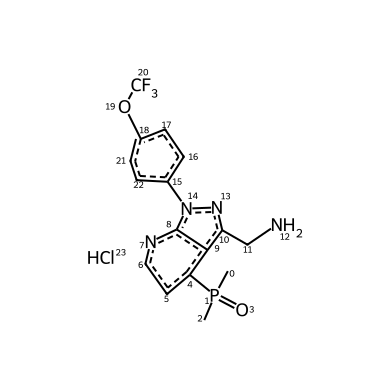 CP(C)(=O)c1ccnc2c1c(CN)nn2-c1ccc(OC(F)(F)F)cc1.Cl